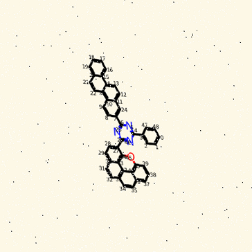 c1ccc(-c2nc(-c3ccc4c(ccc5c6ccccc6ccc45)c3)nc(-c3ccc4ccc5ccc6cccc7c6c5c4c3O7)n2)cc1